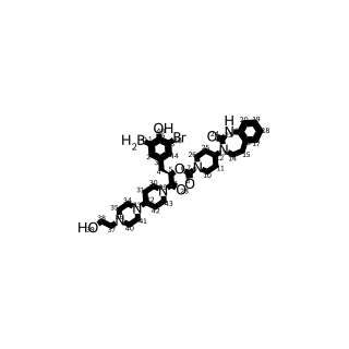 Bc1cc(C[C@@H](OC(=O)N2CCC(N3CCc4ccccc4NC3=O)CC2)C(=O)N2CCC(N3CCN(CCO)CC3)CC2)cc(Br)c1O